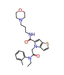 CCN(C(=O)Cn1c(C(=O)NCCCN2CCOCC2)cc2sccc21)c1ccccc1C